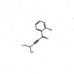 CCCC(N)C#CC(=O)c1ccccc1Br